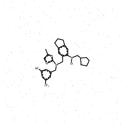 CCN(CC1CCCC1)c1cc2c(cc1CN(Cc1cc(C#N)cc(C(F)(F)F)c1)c1ncc(C)s1)CCC2